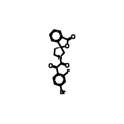 O=C(C(=O)N1CC[C@@]2(C1)OC(=O)c1ccccc12)c1ccc(Br)cc1F